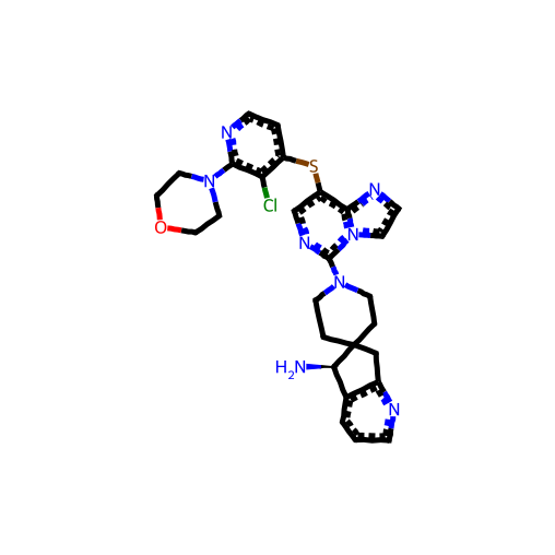 N[C@@H]1c2cccnc2CC12CCN(c1ncc(Sc3ccnc(N4CCOCC4)c3Cl)c3nccn13)CC2